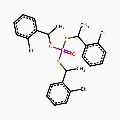 CCc1ccccc1C(C)OP(=O)(SC(C)c1ccccc1CC)SC(C)c1ccccc1CC